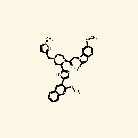 COc1ccc2nc(C)n(CC(=O)N3CCN(Cc4ccn(C)n4)CC3c3ncc(-c4cc5ccccc5nc4OC)[nH]3)c2c1